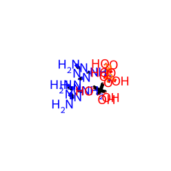 Nc1nc(N)nc(N)n1.Nc1nc(N)nc(N)n1.O=P(O)(O)OP(=O)(O)OCC(CO)(CO)CO